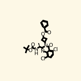 C[C@H](NC(=O)OC(C)(C)C)c1nc2c(Cl)ccc(Cl)c2c(=O)n1C1CC(OC(=O)c2ccccc2)C1